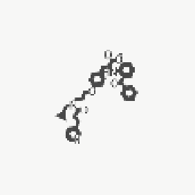 COC(=O)C(Cc1ccc(OCCCN(CC2CC2)C(=O)CCc2cccnc2)cc1)Nc1ccccc1C(=O)c1ccccc1